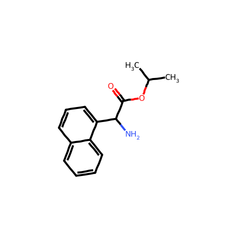 CC(C)OC(=O)C(N)c1cccc2ccccc12